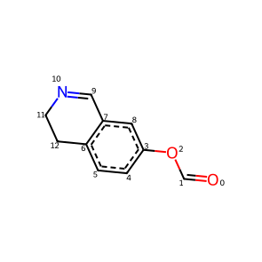 O=COc1ccc2c(c1)C=NCC2